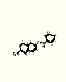 Brc1ccc2cc(ONc3ccccc3)ccc2c1